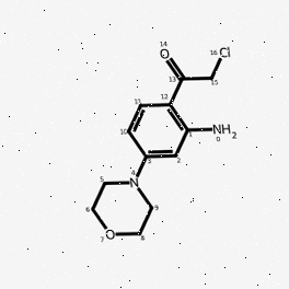 Nc1cc(N2CCOCC2)ccc1C(=O)CCl